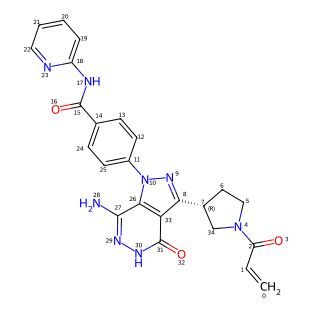 C=CC(=O)N1CC[C@@H](c2nn(-c3ccc(C(=O)Nc4ccccn4)cc3)c3c(N)n[nH]c(=O)c23)C1